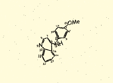 COc1ccc(Nc2ccnc3ccccc23)cc1